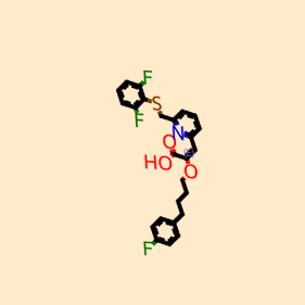 O=C(O)/C(=C\c1cccc(CSc2c(F)cccc2F)n1)OCCCCc1ccc(F)cc1